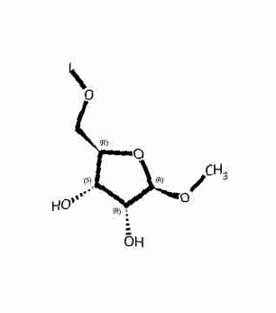 CO[C@@H]1O[C@H](COI)[C@@H](O)[C@H]1O